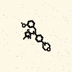 COc1cccc(CN(c2ccc(N3CCOCC3)cc2)c2nc(C)cs2)c1